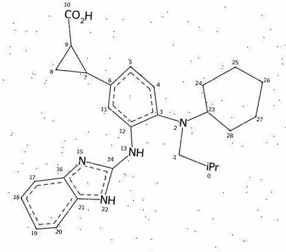 CC(C)CN(c1ccc(C2CC2C(=O)O)cc1Nc1nc2ccccc2[nH]1)C1CCCCC1